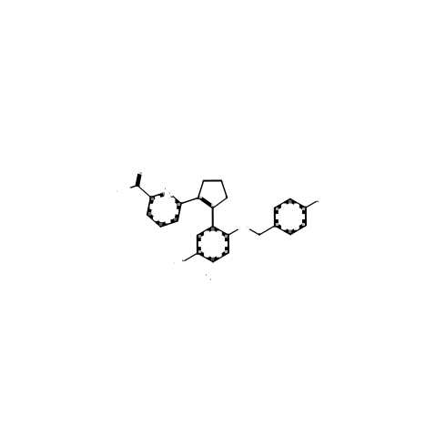 O=C([O-])c1cccc(C2=C(c3cc(Cl)ccc3OCc3ccc(Br)cc3)CCC2)n1.[Na+]